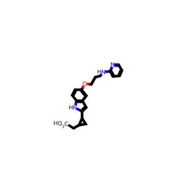 O=C(O)CC1CC1c1cc2cc(OCCCNc3ccccn3)ccc2[nH]1